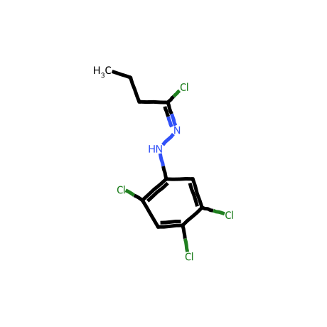 CCC/C(Cl)=N\Nc1cc(Cl)c(Cl)cc1Cl